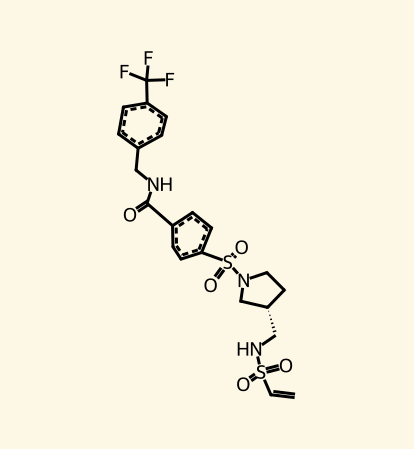 C=CS(=O)(=O)NC[C@H]1CCN(S(=O)(=O)c2ccc(C(=O)NCc3ccc(C(F)(F)F)cc3)cc2)C1